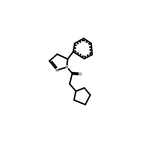 O=C(CC1CCCC1)N1N=CCC1c1ccccc1